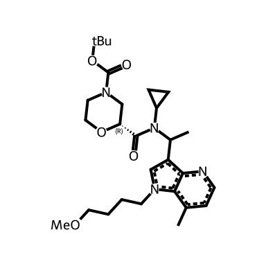 COCCCCn1cc(C(C)N(C(=O)[C@H]2CN(C(=O)OC(C)(C)C)CCO2)C2CC2)c2nccc(C)c21